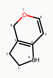 B1CCC2=C1C=COC2